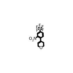 O=[N+]([O-])c1cc(S(F)(F)(F)(F)F)ccc1C1=CCOCC1